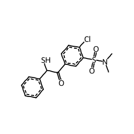 CN(C)S(=O)(=O)c1cc(C(=O)C(S)c2ccccc2)ccc1Cl